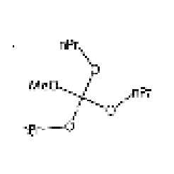 CCCOC(OC)(OCCC)OCCC